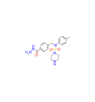 Cc1ccc(N(Cc2ccc(C(=O)NN)cc2)S(=O)(=O)N2CCNCC2)cc1